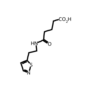 O=C(O)CCCC(=O)NCCc1ccns1